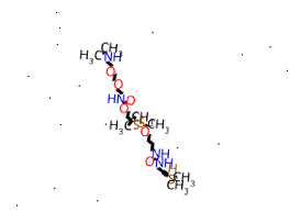 CC(C)NCCOCCOCCNC(=O)OCCC(C)(C)SSC(C)OCCCCNC(=O)NCC#C[SH](C)C